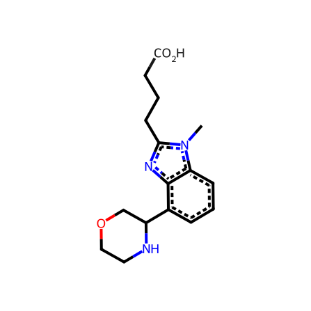 Cn1c(CCCC(=O)O)nc2c(C3COCCN3)cccc21